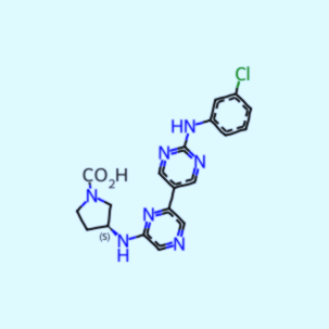 O=C(O)N1CC[C@H](Nc2cncc(-c3cnc(Nc4cccc(Cl)c4)nc3)n2)C1